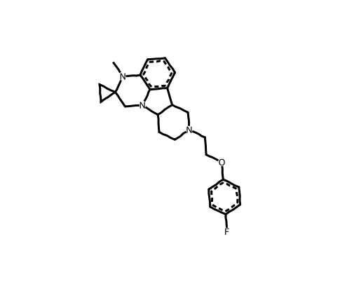 CN1c2cccc3c2N(CC12CC2)C1CCN(CCOc2ccc(F)cc2)CC31